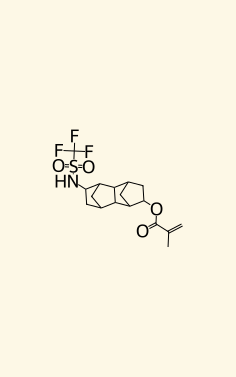 C=C(C)C(=O)OC1CC2CC1C1C3CC(NS(=O)(=O)C(F)(F)F)C(C3)C21